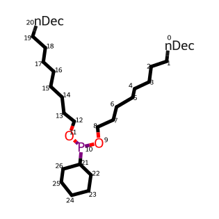 CCCCCCCCCCCCCCCCCCOP(OCCCCCCCCCCCCCCCCCC)C1CCCCC1